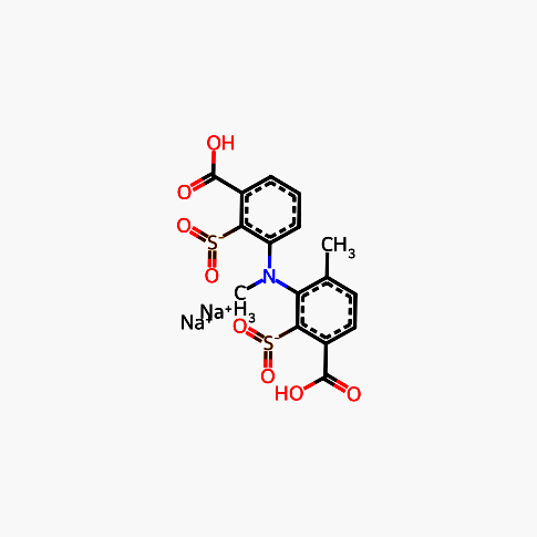 Cc1ccc(C(=O)O)c([S-](=O)=O)c1N(C)c1cccc(C(=O)O)c1[S-](=O)=O.[Na+].[Na+]